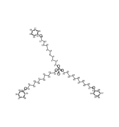 O=P(OCCCCCCCCCCCOc1ccccc1)(OCCCCCCCCCCCOc1ccccc1)OCCCCCCCCCCCOc1ccccc1